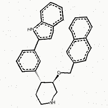 c1cc(-c2cc3ccccc3[nH]2)cc([C@H]2CCNC[C@@H]2OCc2ccc3ccccc3c2)c1